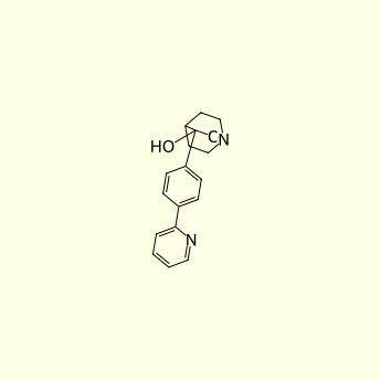 OC1(c2ccc(-c3ccccn3)cc2)CN2CCC1CC2